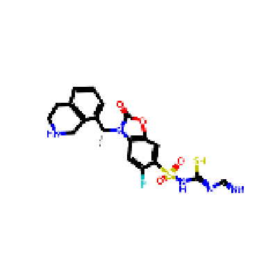 C[C@H](c1cccc2c1CNCC2)n1c(=O)oc2cc(S(=O)(=O)N/C(S)=N/C=N)c(F)cc21